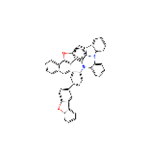 c1ccc(-n2c3ccccc3c3ccccc32)c(N(c2ccc(-c3ccc4oc5ccccc5c4c3)cc2)c2cccc3oc4c5ccccc5ccc4c23)c1